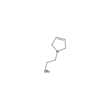 CC(C)(C)CCN1CC=CC1